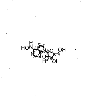 CC1(O)[C@H](O)[C@@H](CO)O[C@H]1n1ccc2c(NO)ncnc21